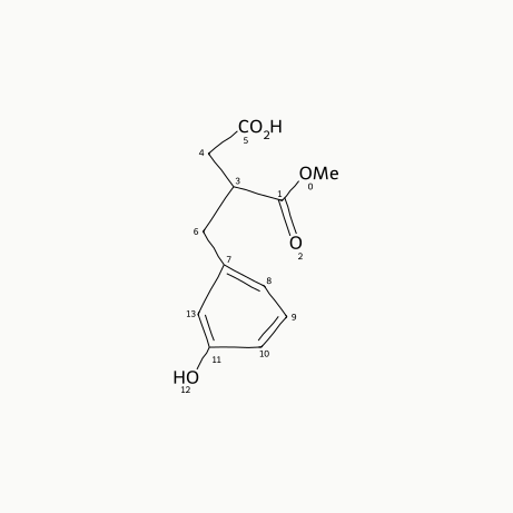 COC(=O)C(CC(=O)O)Cc1cccc(O)c1